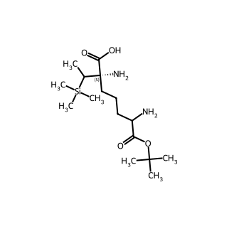 CC([C@](N)(CCCC(N)C(=O)OC(C)(C)C)C(=O)O)[Si](C)(C)C